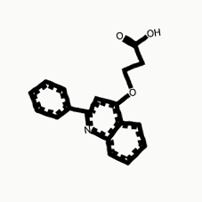 O=C(O)CCOc1cc(-c2ccccc2)nc2ccccc12